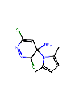 Cc1ccc(C)n1C1(N)C=C(Cl)N=NC1Cl